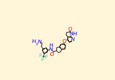 NCCc1cc(NC(=O)C2CCc3ccc(Oc4ccnc5c4CCC(=O)N5)cc3C2)cc(C(F)(F)F)c1